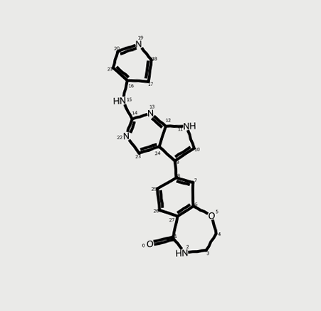 O=C1NCCOc2cc(-c3c[nH]c4nc(Nc5ccncc5)ncc34)ccc21